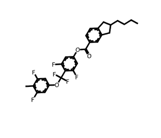 CCCCC1Cc2ccc(C(=O)Oc3cc(F)c(C(F)(F)Oc4cc(F)c(C)c(F)c4)c(F)c3)cc2C1